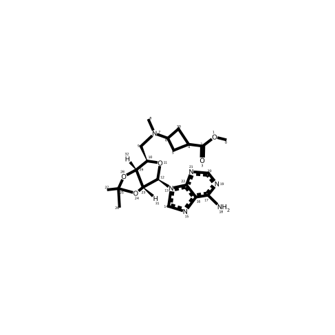 COC(=O)C1CC(N(C)C[C@H]2O[C@@H](n3cnc4c(N)ncnc43)[C@@H]3OC(C)(C)O[C@@H]32)C1